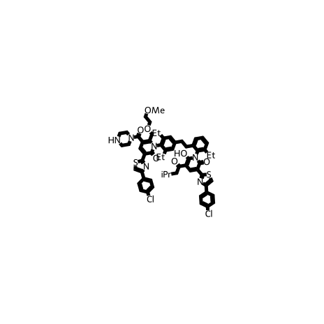 CCc1cccc(CCc2cc(CC)c(-n3c(COCCOC)c(C(=O)N4CCNCC4)cc(-c4nc(-c5ccc(Cl)cc5)cs4)c3=O)c(CC)c2)c1-n1c(O)c(C(=O)CC(C)C)cc(-c2nc(-c3ccc(Cl)cc3)cs2)c1=O